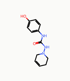 O=C(Nc1ccc(O)cc1)NN1CC=CCC1